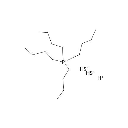 CCCC[P+](CCCC)(CCCC)CCCC.[H+].[SH-].[SH-]